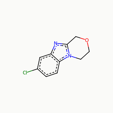 Clc1ccc2c(c1)nc1n2CCOC1